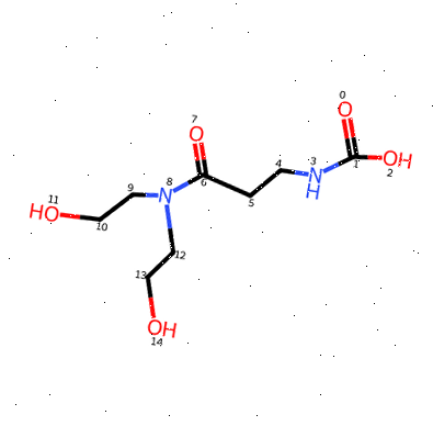 O=C(O)NCCC(=O)N(CCO)CCO